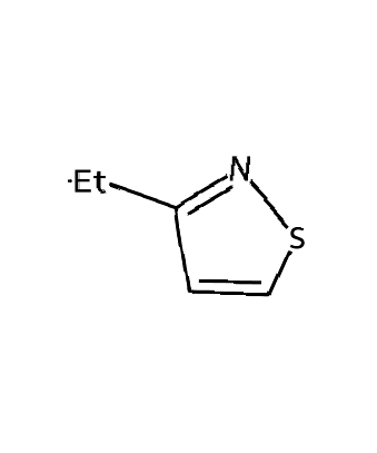 C[CH]c1ccsn1